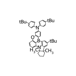 CC(C)(C)c1ccc(N(c2ccc(C(C)(C)C)cc2)c2ccc3c(c2)Oc2cccc4c2B3c2cc(C(C)(C)C)cc3c2N4C2(C)CCCCC32C)cc1